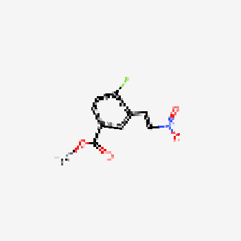 COC(=O)c1ccc(F)c(C=C[N+](=O)[O-])c1